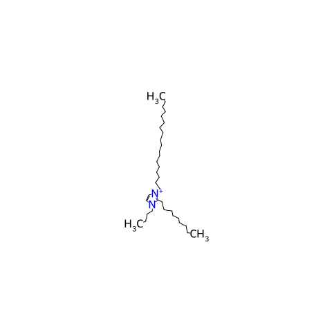 CCCCCCCCCCCCCCCCCC[n+]1ccn(CCCC)c1CCCCCCCCC